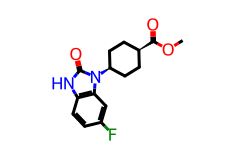 COC(=O)[C@H]1CC[C@@H](n2c(=O)[nH]c3ccc(F)cc32)CC1